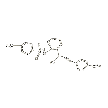 COc1ccc(C#CC(O)c2ccccc2NS(=O)(=O)c2ccc(C)cc2)cc1